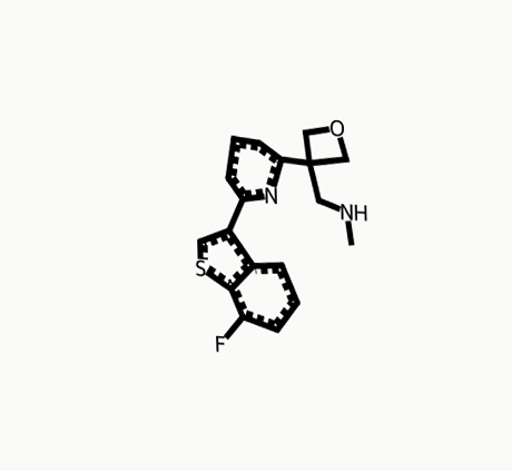 CNCC1(c2cccc(-c3csc4c(F)cccc34)n2)COC1